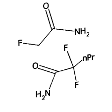 CCCC(F)(F)C(N)=O.NC(=O)CF